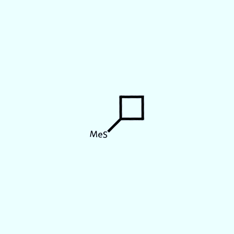 [CH2]SC1CCC1